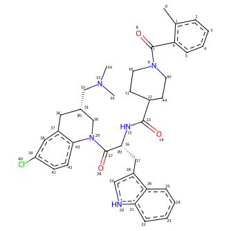 Cc1ccccc1C(=O)N1CCC(C(=O)N[C@H](Cc2c[nH]c3ccccc23)C(=O)N2C[C@@H](CN(C)C)Cc3cc(Cl)ccc32)CC1